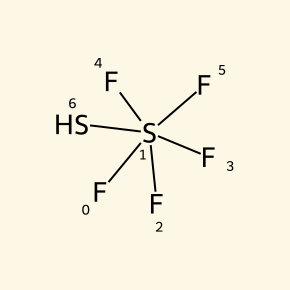 FS(F)(F)(F)(F)S